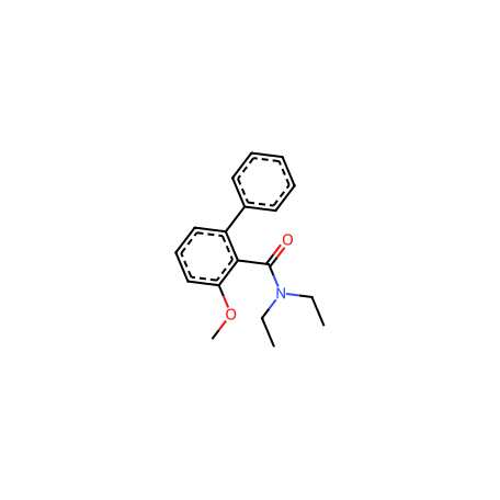 CCN(CC)C(=O)c1c(OC)cccc1-c1ccccc1